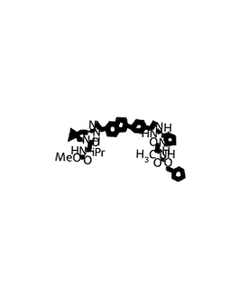 COC(=O)N[C@H](C(=O)N1CC2(CC2)C[C@H]1c1ncc(-c2ccc3cc(-c4ccc(-c5cnc([C@@H]6[C@H]7CC[C@H](C7)N6C(=O)[C@H](C)NC(=O)OCC6CCCCC6)[nH]5)cc4)ccc3c2)[nH]1)C(C)C